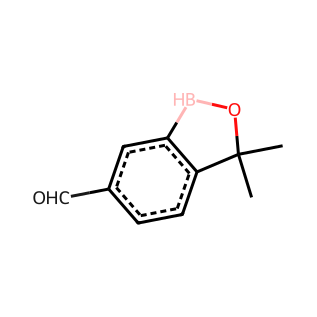 CC1(C)OBc2cc(C=O)ccc21